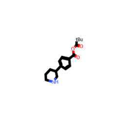 CC(C)(C)C(=O)OC(=O)c1ccc(C2CCCNC2)cc1